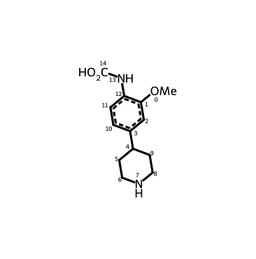 COc1cc(C2CCNCC2)ccc1NC(=O)O